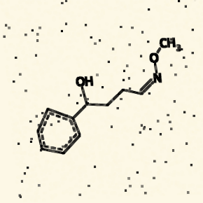 CO/N=C\CCC(O)c1ccccc1